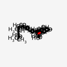 CC(C)C(=O)NCCN[C@@H](C)C(=O)N[C@@H](C)C(=O)Nc1cccc(Cc2ccc([C@@H]3O[C@@H]4C[C@H]5[C@@H]6CCC7=CC(=O)C=C[C@]7(C)[C@H]6[C@@H](O)C[C@]5(C)[C@]4(C(=O)COP(=O)(O)O)O3)cc2)c1